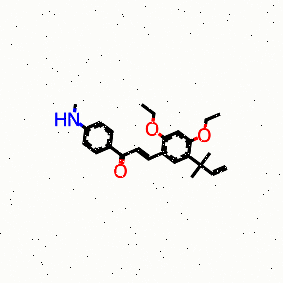 C=CC(C)(C)c1cc(/C=C/C(=O)c2ccc(NC)cc2)c(OCC)cc1OCC